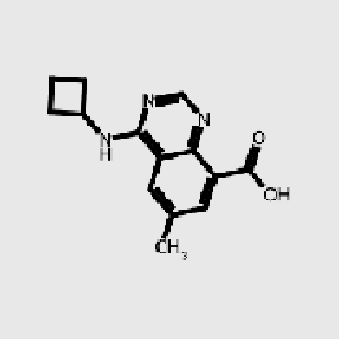 Cc1cc(C(=O)O)c2ncnc(NC3CCC3)c2c1